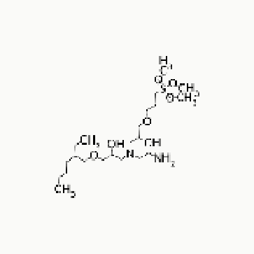 CCCCC(CC)COCC(O)CN(CCN)CC(O)COCCC[Si](OC)(OC)OC